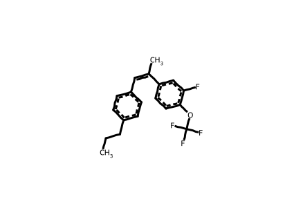 CCCc1ccc(C=C(C)c2ccc(OC(F)(F)F)c(F)c2)cc1